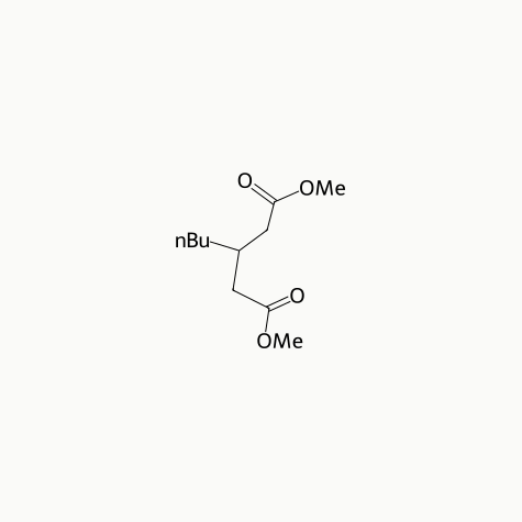 CCCCC(CC(=O)OC)CC(=O)OC